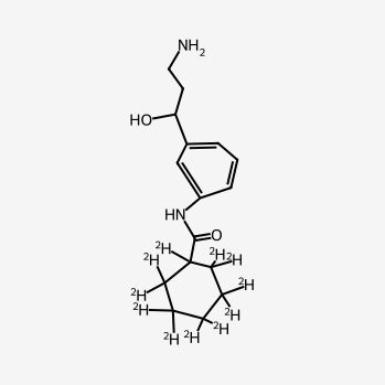 [2H]C1([2H])C([2H])([2H])C([2H])([2H])C([2H])(C(=O)Nc2cccc(C(O)CCN)c2)C([2H])([2H])C1([2H])[2H]